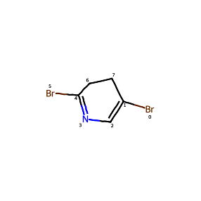 BrC1=CN=C(Br)CC1